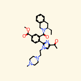 CC[C@@H]1Cc2ccccc2CN1C(=O)c1cc(C(=O)OC)ccc1-c1nc(C(C)=O)cn1CCN1CCN(C)CC1